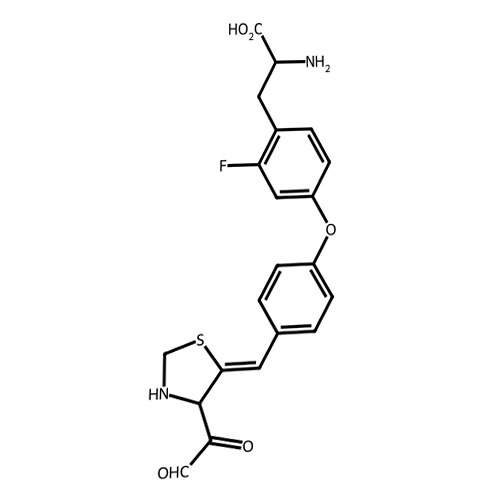 NC(Cc1ccc(Oc2ccc(C=C3SCNC3C(=O)C=O)cc2)cc1F)C(=O)O